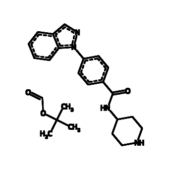 CC(C)(C)OC=O.O=C(NC1CCNCC1)c1ccc(-n2ncc3ccccc32)cc1